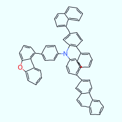 c1ccc(-c2ccc(-c3cccc4ccccc34)cc2N(c2ccc(-c3ccc4c(ccc5ccccc54)c3)cc2)c2ccc(-c3cccc4oc5ccccc5c34)cc2)cc1